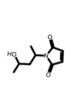 CC(O)CC(C)N1C(=O)C=CC1=O